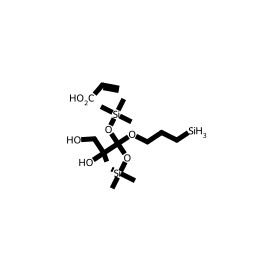 C=CC(=O)O.CC(O)(CO)C(OCCC[SiH3])(O[Si](C)(C)C)O[Si](C)(C)C